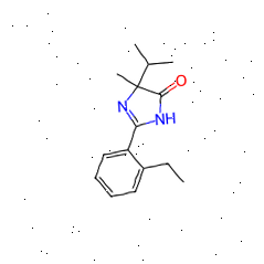 CCc1ccccc1C1=NC(C)(C(C)C)C(=O)N1